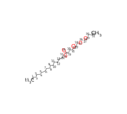 CCCCCCCCCCCCCCCCOC(=O)CCCOCCOCCOCCCC